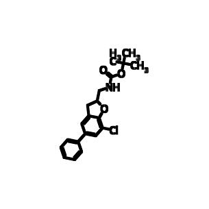 CC(C)(C)OC(=O)NCC1Cc2cc(-c3ccccc3)cc(Cl)c2O1